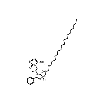 CCCCCCCCCCCCCCCCCCOCCOP(=O)(OCc1ccccc1)[C@@H](O)OC(C)Cn1c(N)ccnc1=O